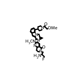 COCC(=O)N1CCC(c2cccc3cc(-c4nc5cc6c(nc5n4C)CCN(C[C@H](N)CF)C6=O)n(CC4CC4)c23)CC1